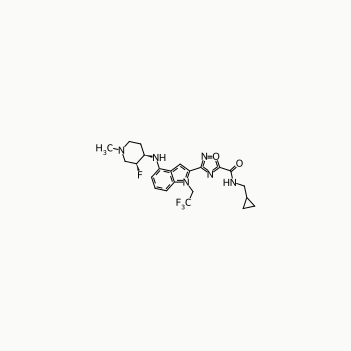 CN1CC[C@@H](Nc2cccc3c2cc(-c2noc(C(=O)NCC4CC4)n2)n3CC(F)(F)F)[C@@H](F)C1